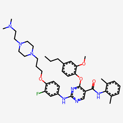 CCCc1ccc(Oc2nc(Nc3ccc(OCCCN4CCN(CCN(C)C)CC4)c(F)c3)ncc2C(=O)Nc2c(C)cccc2C)c(OC)c1